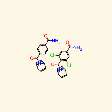 NC(=O)c1cc(Cl)c(C(=O)n2c3ccc2cc3)c(Cl)c1.NC(=O)c1ccc(C(=O)n2c3ccc2cc3)cc1